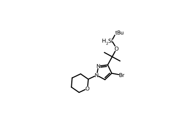 CC(C)(C)[SiH2]OC(C)(C)c1nn(C2CCCCO2)cc1Br